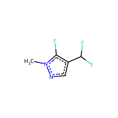 Cn1n[c]c(C(F)F)c1F